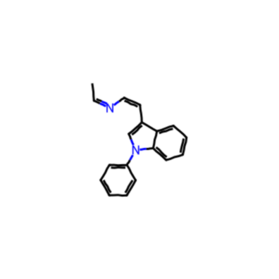 C/C=N\C=C/c1cn(-c2ccccc2)c2ccccc12